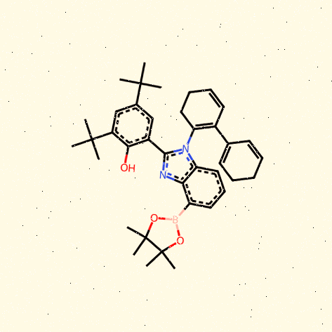 CC(C)(C)c1cc(-c2nc3c(B4OC(C)(C)C(C)(C)O4)cccc3n2C2=C(C3=CCCC=C3)C=CCC2)c(O)c(C(C)(C)C)c1